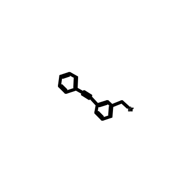 BrCc1cccc(C#Cc2ccccc2)c1